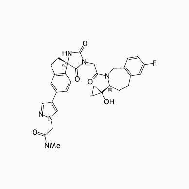 CNC(=O)Cn1cc(-c2ccc3c(c2)CC[C@]32NC(=O)N(CC(=O)N3Cc4ccc(F)cc4CC[C@H]3C3(O)CC3)C2=O)cn1